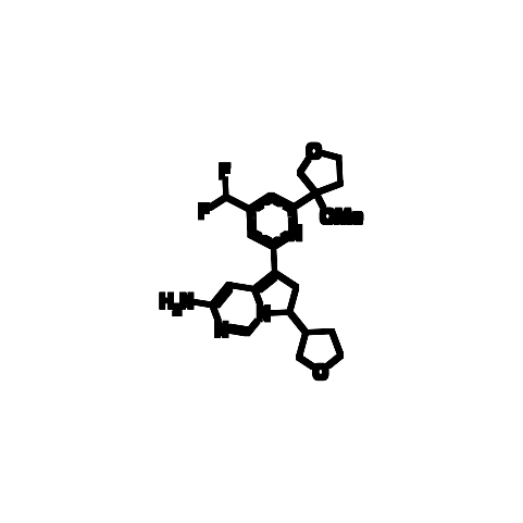 COC1(c2cc(C(F)F)cc(C3=C4C=C(N)N=CN4C(C4CCOC4)C3)n2)CCOC1